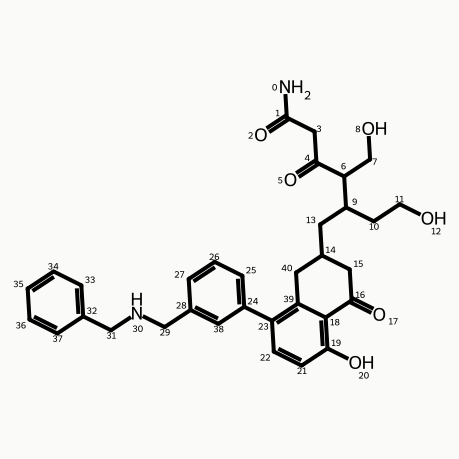 NC(=O)CC(=O)C(CO)C(CCO)CC1CC(=O)c2c(O)ccc(-c3cccc(CNCc4ccccc4)c3)c2C1